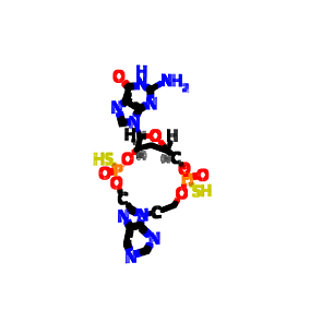 Nc1nc2c(ncn2[C@H]2O[C@@H]3COP(=O)(S)OCCn4c(nc5cncnc54)COP(=O)(S)O[C@@H]2C3)c(=O)[nH]1